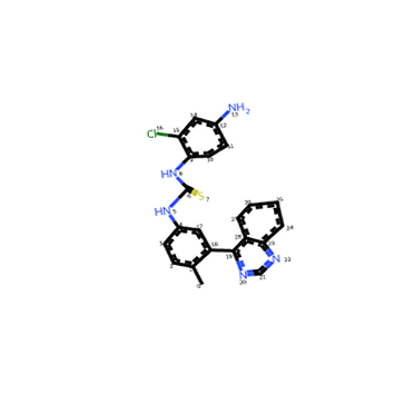 Cc1ccc(NC(=S)Nc2ccc(N)cc2Cl)cc1-c1ncnc2ccccc12